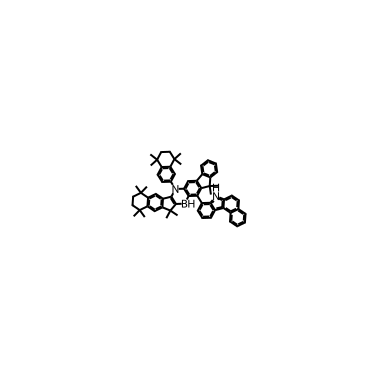 CC1(C)CCC(C)(C)c2cc(N3C4=C(Bc5c3cc3c(c5-c5cccc6c5[nH]c5ccc7ccccc7c56)C(C)(C)c5ccccc5-3)C(C)(C)c3cc5c(cc34)C(C)(C)CCC5(C)C)ccc21